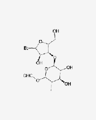 CCC1OC(CO)[C@@H](O[C@@H]2OC(OC=O)[C@@H](C)[C@H](O)C2O)[C@H]1O